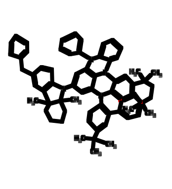 CC(C)(C)c1ccc(N2c3cc4c(cc3B3c5ccccc5N(c5ccccc5)c5cc(N6c7ccc(Cc8ccccc8)cc7C7(C)CCCCC67C)cc2c53)C(C)(C)CCC4(C)C)c(-c2ccccc2)c1